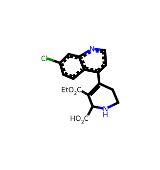 CCOC(=O)C1=C(c2ccnc3cc(Cl)ccc23)CCNC1C(=O)O